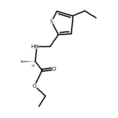 CCOC(=O)[C@H](C)NCc1cc(CC)cs1